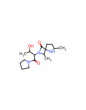 CC1CCC2(N1)C(=O)N(C(C(=O)N1CCCC1)C(C)O)C2C